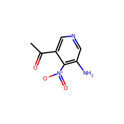 CC(=O)c1cncc(N)c1[N+](=O)[O-]